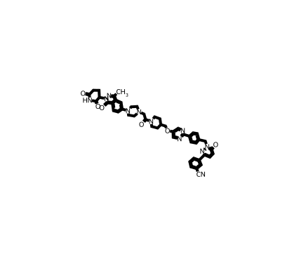 Cc1nn(C2CCC(=O)NC2=O)c(=O)c2ccc(N3CCN(CC(=O)N4CCC(COc5cnc(-c6ccc(Cn7nc(-c8cccc(C#N)c8)ccc7=O)cc6)nc5)CC4)CC3)cc12